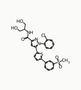 CS(=O)(=O)c1cccc(-c2ccc(-c3cc(C(=O)NC(CO)CO)nn3-c3ccccc3Cl)s2)c1